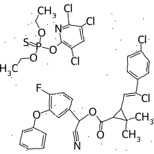 CC1(C)C(/C=C(\Cl)c2ccc(Cl)cc2)C1C(=O)OC(C#N)c1ccc(F)c(Oc2ccccc2)c1.CCOP(=S)(OCC)Oc1nc(Cl)c(Cl)cc1Cl